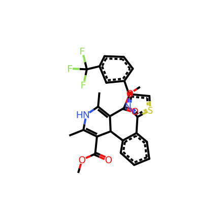 COC(=O)C1=C(C)NC(C)=C(C(=O)OC)C1c1ccccc1-c1nc(-c2cccc(C(F)(F)F)c2)cs1